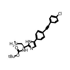 C[SiH2]C[C@H](NC(=O)OC(C)(C)C)c1ncc(-c2ccc(C#Cc3ccc(Cl)cc3)cc2)[nH]1